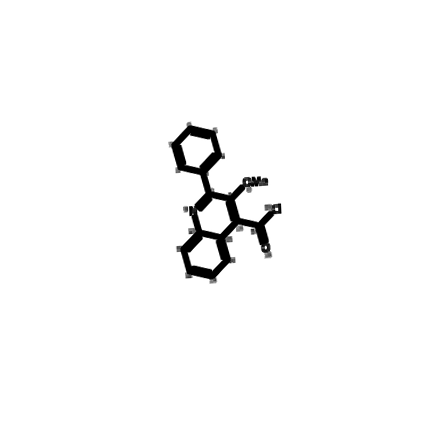 COc1c(-c2ccccc2)nc2ccccc2c1C(=O)Cl